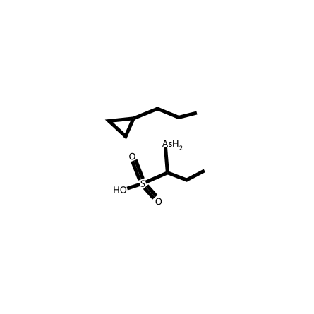 CCC([AsH2])S(=O)(=O)O.CCCC1CC1